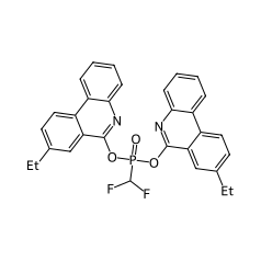 CCc1ccc2c(c1)c(OP(=O)(Oc1nc3ccccc3c3ccc(CC)cc13)C(F)F)nc1ccccc12